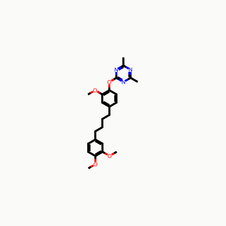 COc1ccc(CCCCc2ccc(Oc3nc(C)nc(C)n3)c(OC)c2)cc1OC